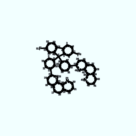 Fc1ccc2c(c1)C(c1cccc(-c3ccc4ccc5cccnc5c4n3)c1)(c1cccc(-c3ccc4ccc5cccnc5c4n3)c1)c1cc(F)ccc1-2